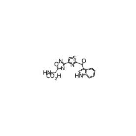 O=C(O)NCc1nc(-c2csc(C(=O)c3c[nH]c4ccccc34)n2)no1